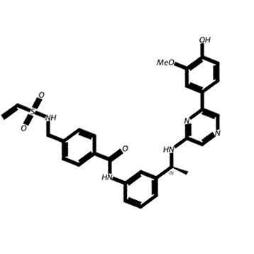 C=CS(=O)(=O)NCc1ccc(C(=O)Nc2cccc([C@H](C)Nc3cncc(-c4ccc(O)c(OC)c4)n3)c2)cc1